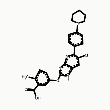 Cc1ccc(Oc2nc3nc(-c4ccc(N5CCCCC5)cc4)c(Cl)cc3[nH]2)cc1C(=O)O